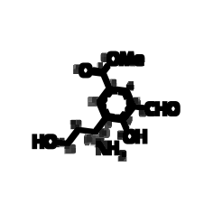 COC(=O)c1cc(C=O)c(O)c([C@H](N)CCO)c1